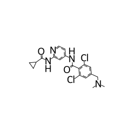 CN(C)Cc1cc(Cl)c(C(=O)Nc2ccnc(NC(=O)C3CC3)c2)c(Cl)c1